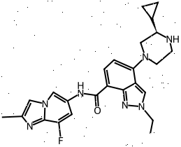 CCn1cc2c(N3CCN[C@H](C4CC4)C3)ccc(C(=O)Nc3cc(F)c4nc(C)cn4c3)c2n1